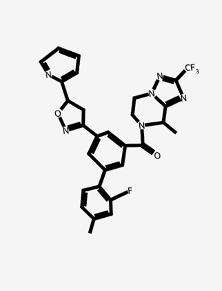 Cc1ccc(-c2cc(C(=O)N3CCn4nc(C(F)(F)F)nc4C3C)cc(C3=NOC(c4ccccn4)C3)c2)c(F)c1